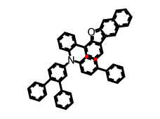 c1ccc(-c2ccc(N(c3ccc(-c4ccccc4)c(-c4ccccc4)c3)c3ccccc3-c3cccc4c3oc3cc5ccccc5cc34)cc2)cc1